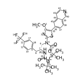 COc1nc(N(C[C@@H](Cc2ccc(C(F)(F)F)cc2)NC(=O)OC(C)(C)C)C(=O)OC(C)(C)C)sc1-c1ccc2cnccc2c1